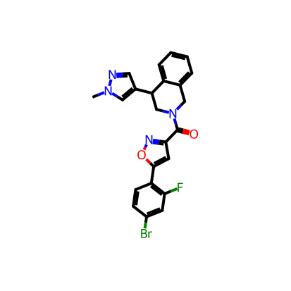 Cn1cc(C2CN(C(=O)c3cc(-c4ccc(Br)cc4F)on3)Cc3ccccc32)cn1